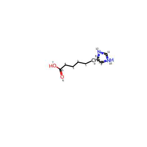 CCCCCC(=O)O.c1c[nH]cn1